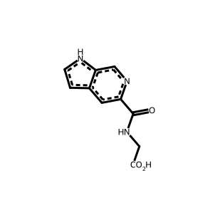 O=C(O)CNC(=O)c1cc2cc[nH]c2cn1